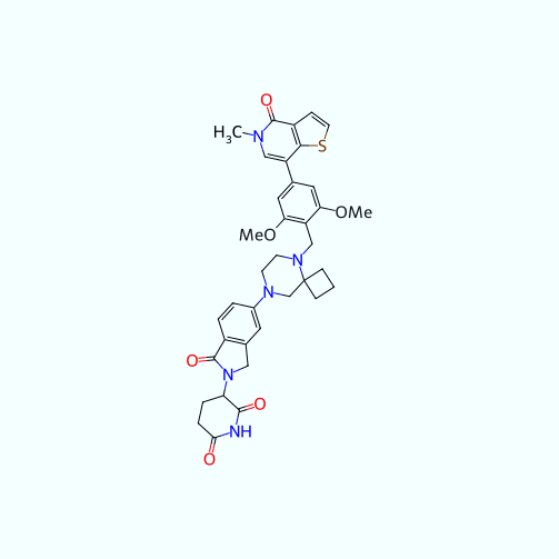 COc1cc(-c2cn(C)c(=O)c3ccsc23)cc(OC)c1CN1CCN(c2ccc3c(c2)CN(C2CCC(=O)NC2=O)C3=O)CC12CCC2